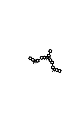 c1ccc(-c2cc3c4cc5ccc(-c6ccc7oc8cc9ccccc9cc8c7c6)cc5cc4n4c5cc6cc(-c7ccc8oc9cc%10ccccc%10cc9c8c7)ccc6cc5c(c2)c34)cc1